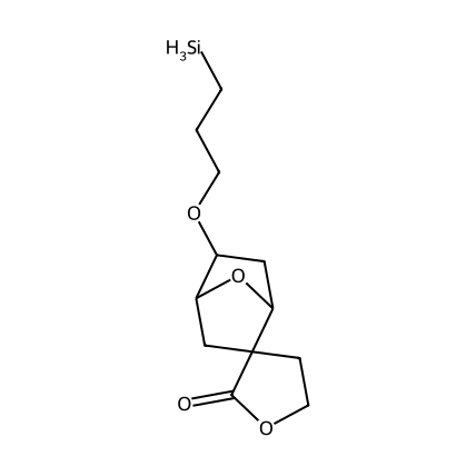 O=C1OCCC12CC1OC2CC1OCCC[SiH3]